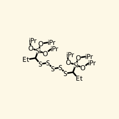 CCC(SSSSSC(CC)[Si](OC(C)C)(OC(C)C)OC(C)C)[Si](OC(C)C)(OC(C)C)OC(C)C